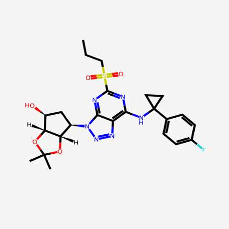 CCCS(=O)(=O)c1nc(NC2(c3ccc(F)cc3)CC2)c2nnn([C@@H]3C[C@H](O)[C@H]4OC(C)(C)O[C@H]43)c2n1